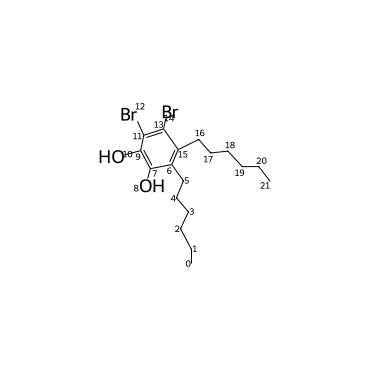 CCCCCCc1c(O)c(O)c(Br)c(Br)c1CCCCCC